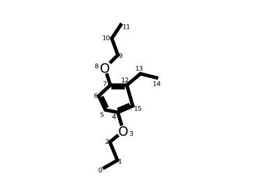 CCCOc1ccc(OCCC)c(CC)c1